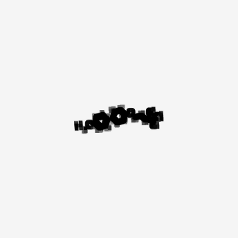 Cc1ccc([C@H]2CC[C@H](OCCC[Si](Cl)(Cl)Cl)CC2)cc1